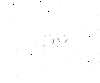 COCCCc1c(C)n(C)c2ccc(Br)cc12